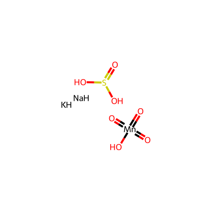 O=S(O)O.[KH].[NaH].[O]=[Mn](=[O])(=[O])[OH]